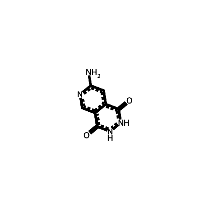 Nc1cc2c(=O)[nH][nH]c(=O)c2cn1